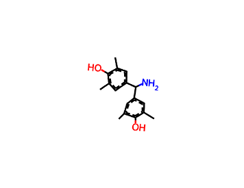 Cc1cc(C(N)c2cc(C)c(O)c(C)c2)cc(C)c1O